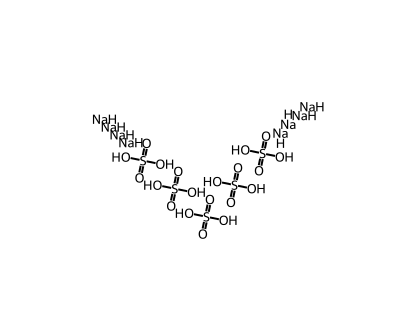 O=S(=O)(O)O.O=S(=O)(O)O.O=S(=O)(O)O.O=S(=O)(O)O.O=S(=O)(O)O.[NaH].[NaH].[NaH].[NaH].[NaH].[NaH].[NaH].[NaH]